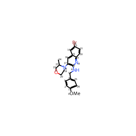 COc1ccc(CNc2nc3ccc(Br)cc3cc2N2CCOCC2C)cc1